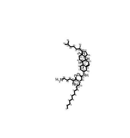 CCCCCCCCCCCN(CC(=O)N[C@H]1CC[C@@]2(C)C(=CC[C@H]3[C@@H]4CC[C@H]([C@H](C)CCCC(C)C)[C@@]4(C)CC[C@@H]32)C1)C(=O)[C@@H](N)CCCN